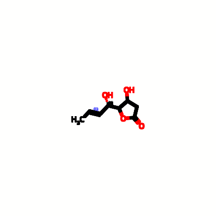 C/C=C/[C@H](O)C1OC(=O)CC1O